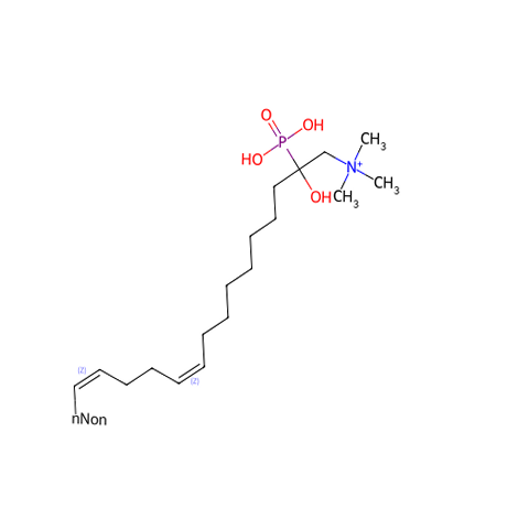 CCCCCCCCC/C=C\CC/C=C\CCCCCCCC(O)(C[N+](C)(C)C)P(=O)(O)O